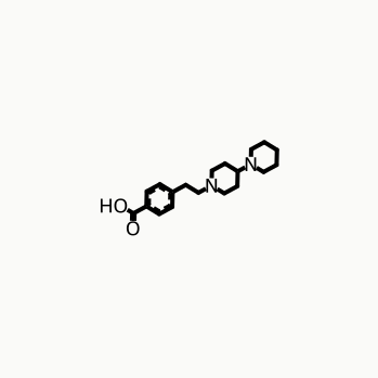 O=C(O)c1ccc(CCN2CCC(N3CCCCC3)CC2)cc1